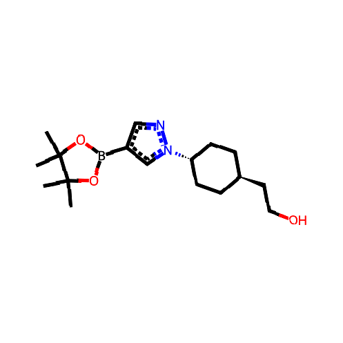 CC1(C)OB(c2cnn([C@H]3CC[C@H](CCO)CC3)c2)OC1(C)C